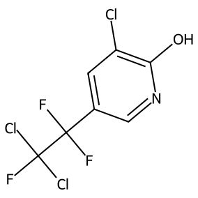 Oc1ncc(C(F)(F)C(F)(Cl)Cl)cc1Cl